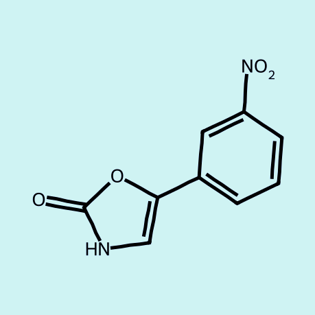 O=c1[nH]cc(-c2cccc([N+](=O)[O-])c2)o1